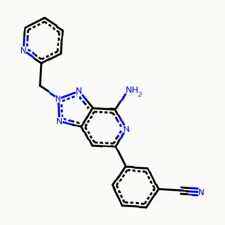 N#Cc1cccc(-c2cc3nn(Cc4ccccn4)nc3c(N)n2)c1